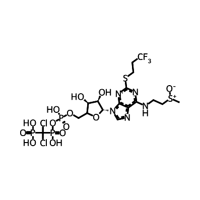 C[S+]([O-])CCNc1nc(SCCC(F)(F)F)nc2c1ncn2[C@@H]1OC(COP(=O)(O)OP(=O)(O)C(Cl)(Cl)P(=O)(O)O)[C@@H](O)[C@H]1O